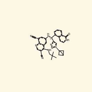 CC(C)(C)CNc1c(C#N)cnc2c(C#N)cc(N[C@H](c3cn(C45CC(C4)C5)nn3)c3cccc4c(=O)[nH]ccc34)cc12